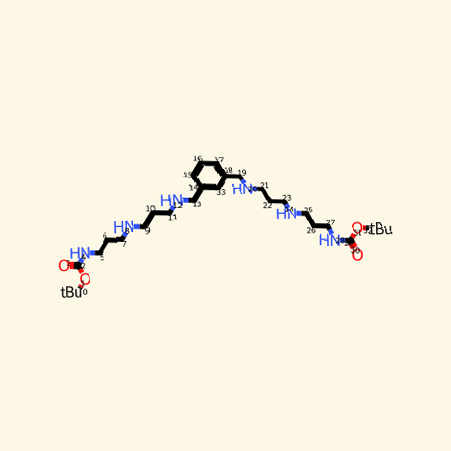 CC(C)(C)OC(=O)NCCCNCCCNCc1cccc(CNCCCNCCCNC(=O)OC(C)(C)C)c1